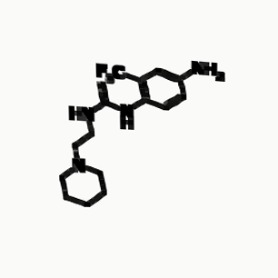 C=C(NCCN1CCCCC1)Nc1ccc(N)cc1C(F)(F)F